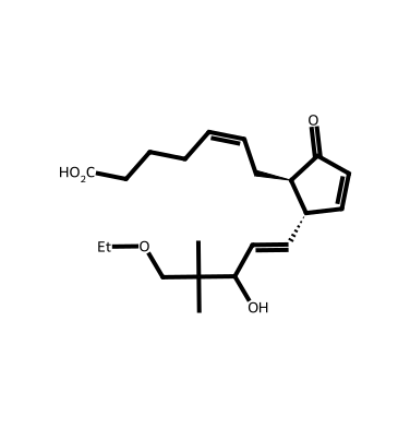 CCOCC(C)(C)C(O)C=C[C@H]1C=CC(=O)[C@@H]1C/C=C\CCCC(=O)O